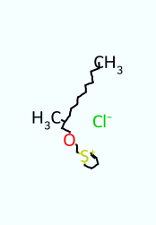 CCCCCCCCCCC(C)CCOCC[S+]1C=CCCC1.[Cl-]